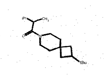 CC(C)C(C)C(=O)N1CCC2(CC1)CC(C(C)(C)C)C2